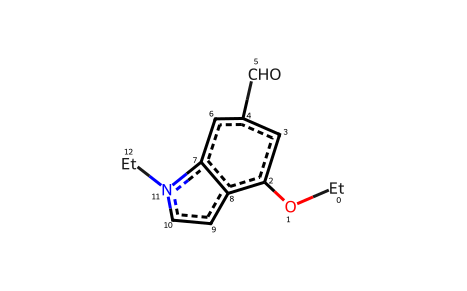 CCOc1cc(C=O)cc2c1ccn2CC